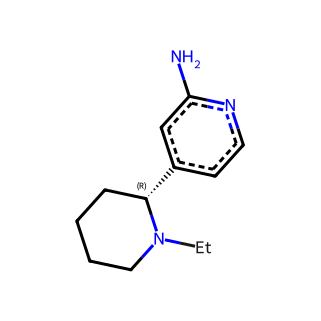 CCN1CCCC[C@@H]1c1ccnc(N)c1